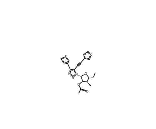 CC[C@H]1O[C@@H](n2nnc(-c3ccsc3)c2C#Cc2ccsc2)[C@H](OC(C)=O)[C@@H]1C